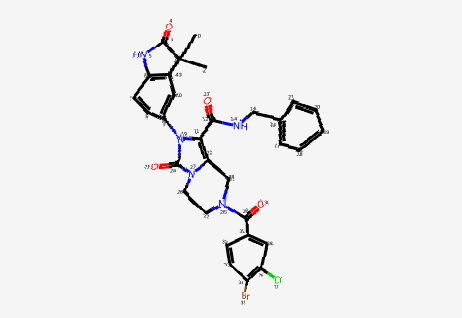 CC1(C)C(=O)Nc2ccc(-n3c(C(=O)NCc4ccccc4)c4n(c3=O)CCN(C(=O)c3ccc(Br)c(Cl)c3)C4)cc21